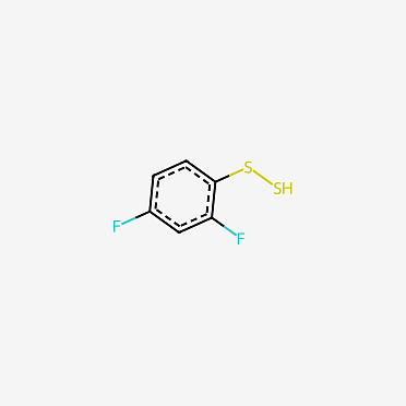 Fc1ccc(SS)c(F)c1